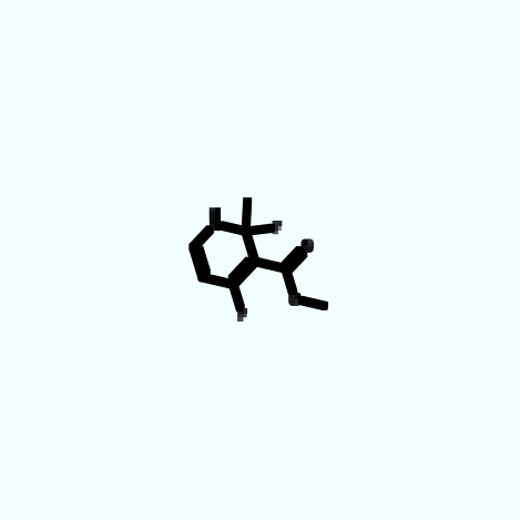 COC(=O)C1=C(F)C=CNC1(C)F